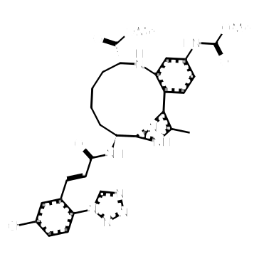 COC(=O)Nc1ccc2c(c1)N[C@@H](C(=O)OC)CCCC[C@H](NC(=O)C=Cc1cc(Cl)ccc1-n1cnnn1)c1nc-2c(C)[nH]1